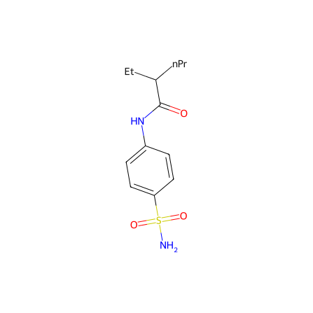 CCCC(CC)C(=O)Nc1ccc(S(N)(=O)=O)cc1